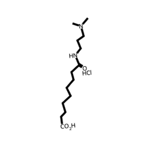 CN(C)CCCNC(=O)CCCCCCCC(=O)O.Cl